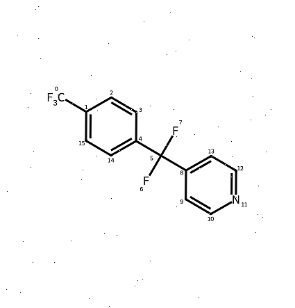 FC(F)(F)c1ccc(C(F)(F)c2ccncc2)cc1